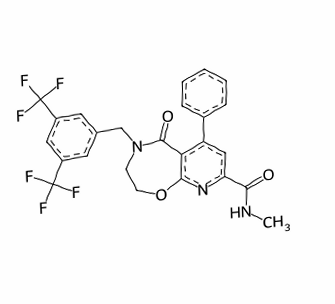 CNC(=O)c1cc(-c2ccccc2)c2c(n1)OCCN(Cc1cc(C(F)(F)F)cc(C(F)(F)F)c1)C2=O